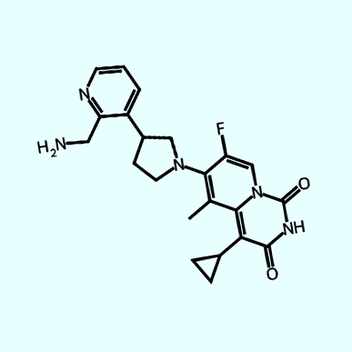 Cc1c(N2CCC(c3cccnc3CN)C2)c(F)cn2c(=O)[nH]c(=O)c(C3CC3)c12